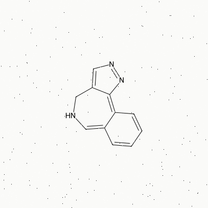 C1=C2CNC=c3ccccc3=C2N=N1